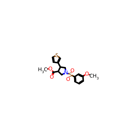 COC(=O)C1CN(S(=O)(=O)c2cccc(OC)c2)CC1c1ccsc1